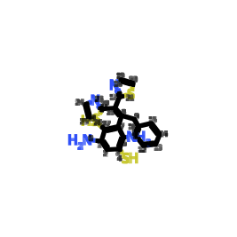 Nc1cc(S)c(N)c(C(Cc2ccccc2)=C(c2nccs2)c2nccs2)c1S